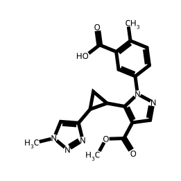 COC(=O)c1cnn(-c2ccc(C)c(C(=O)O)c2)c1C1CC1c1cn(C)nn1